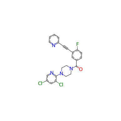 O=C(c1ccc(F)c(C#Cc2ccccn2)c1)N1CCN(c2ncc(Cl)cc2Cl)CC1